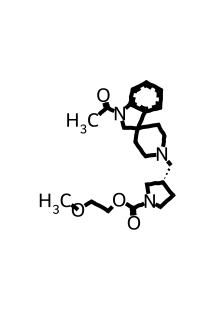 COCCOC(=O)N1CC[C@@H](CN2CCC3(CC2)CN(C(C)=O)c2ccccc23)C1